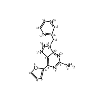 Nc1nc(-c2ccco2)c2nnn(Cc3cnccn3)c2n1